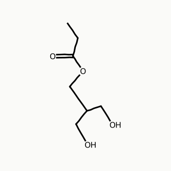 CCC(=O)OCC(CO)CO